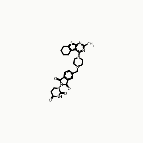 Cc1nc(N2CCN(Cc3ccc4c(c3)C(=O)N(N3CCC(=O)NC3=O)C4=O)CC2)c2c3c(sc2n1)CCCC3